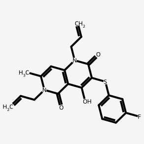 C=CCn1c(C)cc2c(c(O)c(Sc3cccc(F)c3)c(=O)n2CC=C)c1=O